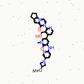 COC1CN(c2ccc(Nc3cc(-c4ccnc(-n5ccn6c7c(cc6c5=O)CCC7)c4CO)cn(C)c3=O)nc2)C1